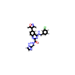 Cc1noc(C)c1-c1ccc2nc(C(=O)NCc3ncc[nH]3)nc(NCc3cccc(Cl)c3)c2c1